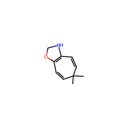 CC1(C)C=CC2=C(C=C1)OCN2